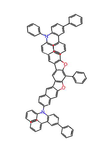 c1ccc(-c2ccc(N(c3ccccc3)c3ccc4cc5c(cc4c3)oc3c(-c4ccccc4)c4oc6cc7cc(N(c8ccccc8)c8ccc(-c9ccccc9)cc8-c8ccccc8)ccc7cc6c4cc35)c(-c3ccccc3)c2)cc1